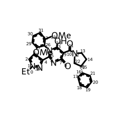 CCn1ccc(-c2nc(=O)c(C(=O)N3CC[C@H](c4ccccc4)C3)c(O)n2-c2c(OC)cccc2OC)n1